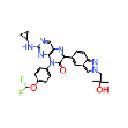 CC(C)(O)Cn1cc2cc(-c3nc4cnc(NC5CC5)nc4n(-c4ccc(OC(F)F)cc4)c3=O)ccc2n1